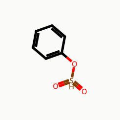 O=[SH](=O)Oc1ccccc1